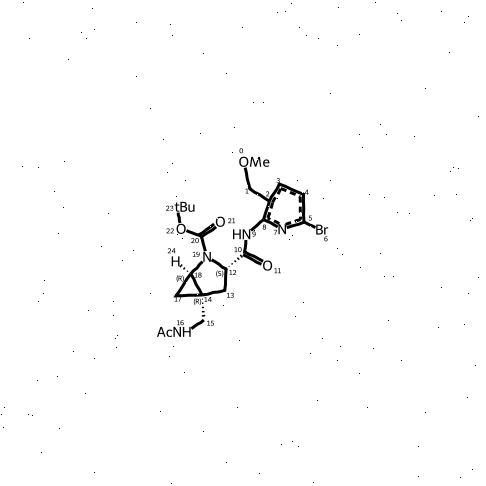 COCc1ccc(Br)nc1NC(=O)[C@@H]1C[C@@]2(CNC(C)=O)C[C@H]2N1C(=O)OC(C)(C)C